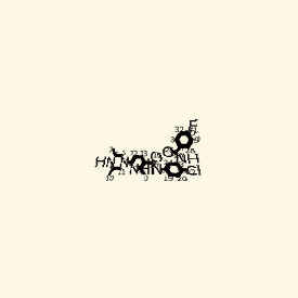 Cc1nc(N2CC(C)NC(C)C2)ccc1C(=O)Nc1ccc(Cl)c(NC(=O)c2ccc(F)cc2)c1